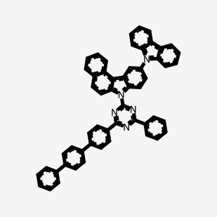 c1ccc(-c2ccc(-c3ccc(-c4nc(-c5ccccc5)nc(-n5c6ccc(-n7c8ccccc8c8ccccc87)cc6c6c7ccccc7ccc65)n4)cc3)cc2)cc1